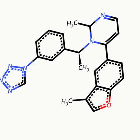 Cc1coc2ccc(C3=CC=NC(C)N3[C@@H](C)c3cccc(-n4cnnn4)c3)cc12